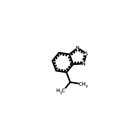 CC(C)c1cccc2nsnc12